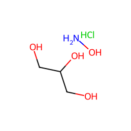 Cl.NO.OCC(O)CO